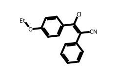 CCOc1ccc(C(Cl)=C(C#N)c2ccccc2)cc1